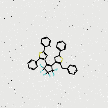 FC1(F)C(C2=C(Cc3ccccc3)SC(c3ccccc3)C2)=C(c2cc(-c3ccccc3)sc2-c2ccccc2)C(F)(F)C1(F)F